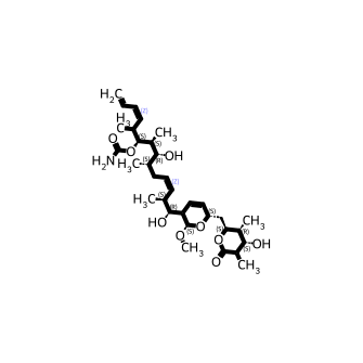 C=C/C=C\C(C)[C@H](OC(N)=O)[C@@H](C)[C@H](O)[C@@H](C)C/C=C\[C@H](C)[C@@H](O)C1C=C[C@H](C[C@@H]2OC(=O)C(C)[C@@H](O)[C@H]2C)O[C@@H]1OC